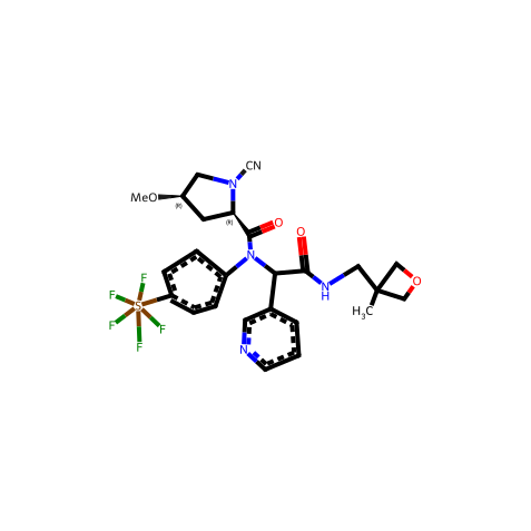 CO[C@@H]1C[C@H](C(=O)N(c2ccc(S(F)(F)(F)(F)F)cc2)C(C(=O)NCC2(C)COC2)c2cccnc2)N(C#N)C1